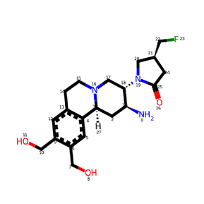 N[C@H]1C[C@H]2c3cc(CO)c(CO)cc3CCN2C[C@@H]1N1C[C@@H](CF)CC1=O